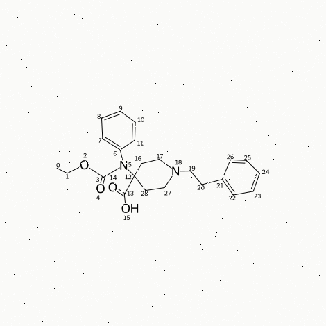 CCOC(=O)N(c1ccccc1)C1(C(=O)O)CCN(CCc2ccccc2)CC1